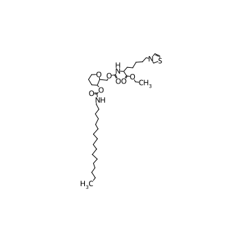 CCCCCCCCCCCCCCCCCNC(=O)OC1CCCOC1COC(=O)NC(CCCCCN1C=CSC1)C(=O)OCC